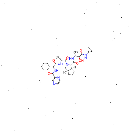 CCC[C@H](NC(=O)[C@@H]1[C@H]2CCC[C@H]2CN1C(=O)[C@@H](NC(=O)[C@@H](NC(=O)c1cnccn1)C1CCCCC1)C(C)(C)C)[C@H](O)C(=O)NC1CC1